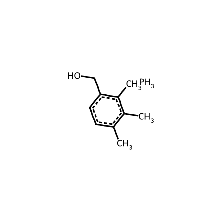 Cc1ccc(CO)c(C)c1C.P